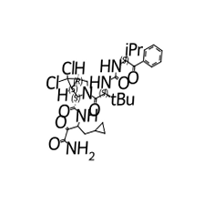 CC(C)[C@H](NC(=O)N[C@H](C(=O)N1C[C@H]2[C@@H]([C@H]1C(=O)NC(CC1CC1)C(=O)C(N)=O)C2(Cl)Cl)C(C)(C)C)C(=O)c1ccccc1